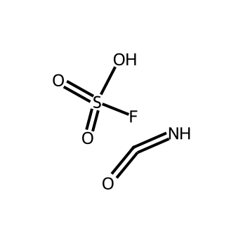 N=C=O.O=S(=O)(O)F